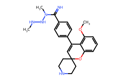 CNNN(C)C(=N)c1ccc(C2=CC3(CCNCC3)Oc3cccc(OC)c32)cc1